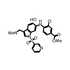 CNCc1cn(S(=O)(=O)c2cccnc2)c2cc(Nc3ccc(C(=O)OC)cc3Cl)ccc12.Cl